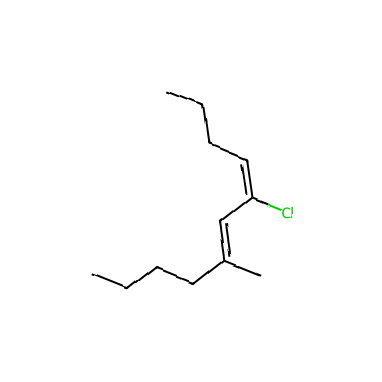 CCC/C=C(Cl)\C=C(/C)CCCC